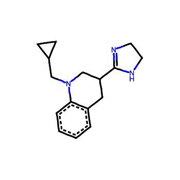 c1ccc2c(c1)CC(C1=NCCN1)CN2CC1CC1